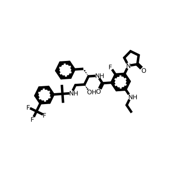 CCNc1cc(C(=O)N[C@@H](Cc2ccccc2)[C@H](O)CNC(C)(C)c2cccc(C(F)(F)F)c2)c(F)c(N2CCCC2=O)c1